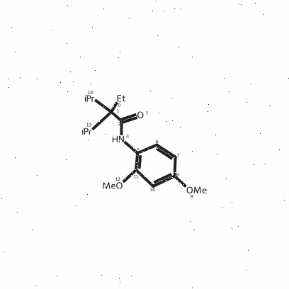 CCC(C(=O)Nc1ccc(OC)cc1OC)(C(C)C)C(C)C